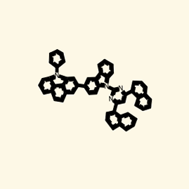 c1ccc(-n2c3cccc4ccc5cc(-c6ccc7c(c6)c6ccccc6n7-c6nc(-c7cccc8ccccc78)cc(-c7cccc8ccccc78)n6)cc2c5c43)cc1